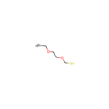 CCCCOCCOCS